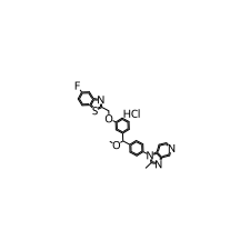 COC(c1ccc(-n2c(C)nc3cnccc32)cc1)c1cccc(OCc2nc3cc(F)ccc3s2)c1.Cl